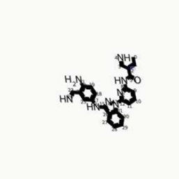 C/C=C(\C=N)C(=O)Nc1cccc(-n2nc(Nc3ccc(N)c(C=N)c3)c3ccccc32)n1